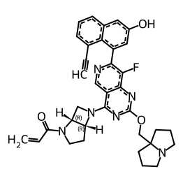 C#Cc1cccc2cc(O)cc(-c3ncc4c(N5C[C@@H]6[C@H]5CCN6C(=O)C=C)nc(OCC56CCCN5CCC6)nc4c3F)c12